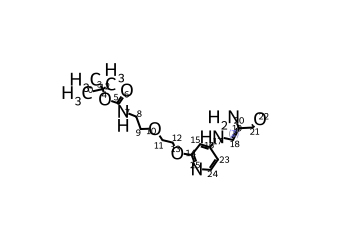 CC(C)(C)OC(=O)NCCOCCOc1cc(N/C=C(\N)C=O)ccn1